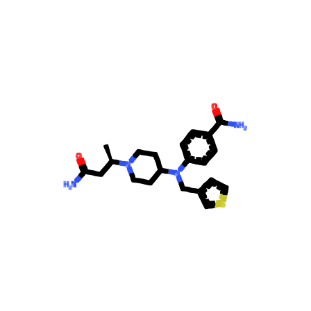 C[C@H](CC(N)=O)N1CCC(N(Cc2ccsc2)c2ccc(C(N)=O)cc2)CC1